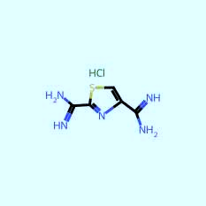 Cl.N=C(N)c1csc(C(=N)N)n1